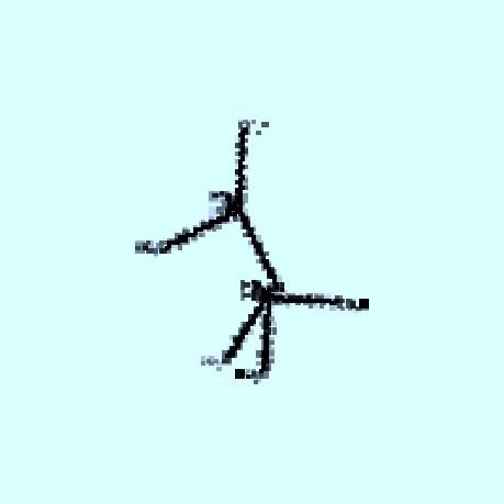 O=C(O)CCCCCCCCCCCCCCCCCC(CCCCCCCCCCCCCCCCCC(=O)O)(CCCCCCCCCCCCCCCCCC(=O)OCC(CO)(CCO)C(CCCCCCCCCCCCCCCC(=O)O)(CCCCCCCCCCCCCCCC(=O)O)CCCCCCCCCCCCCCCC(=O)O)C(CO)(CO)CCO